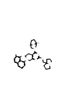 CCc1c(F)ccc2cccc(N3CCc4c(nc(OCC56CCCN5CCC6)nc4N4C[C@H]5CC[C@@H](C4)N5)C3)c12